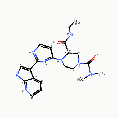 CN(C)C(=O)N1CCN(c2ccnc(-c3c[nH]c4ncccc34)n2)[C@@H](C(=O)NCC(F)(F)F)C1